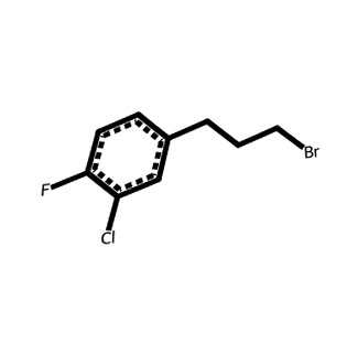 Fc1ccc(CCCBr)cc1Cl